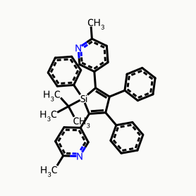 Cc1ccc(C2=C(c3ccccc3)C(c3ccccc3)=C(c3ccc(C)nc3)[Si]2(c2ccccc2)C(C)(C)C)cn1